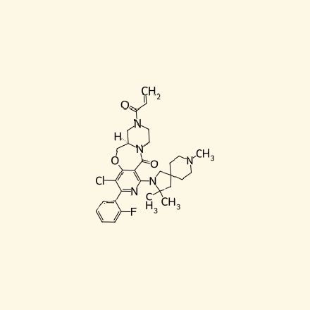 C=CC(=O)N1CCN2C(=O)c3c(N4CC5(CCN(C)CC5)CC4(C)C)nc(-c4ccccc4F)c(Cl)c3OC[C@H]2C1